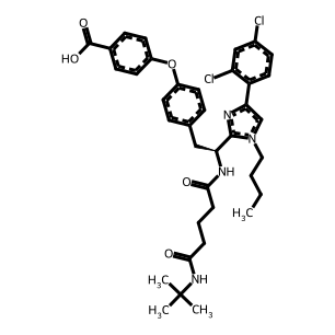 CCCCn1cc(-c2ccc(Cl)cc2Cl)nc1[C@H](Cc1ccc(Oc2ccc(C(=O)O)cc2)cc1)NC(=O)CCCC(=O)NC(C)(C)C